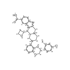 O=C(O)c1ccc2nc3n(c2c1)C(C1CCO1)C1CN(c2cccc4c2O[C@H](c2ccc(Cl)cc2F)CO4)CCN1C3